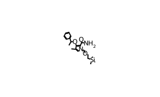 Cc1cn(COCC[Si](C)(C)C)c(C(N)=O)c1OC(C)c1ccccc1